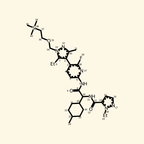 CCc1c(-c2ccc(NC(=O)C(NC(=O)c3ccnn3CC)C3CCC(C)CC3)nc2F)c(C)nn1COCC[Si](C)(C)C